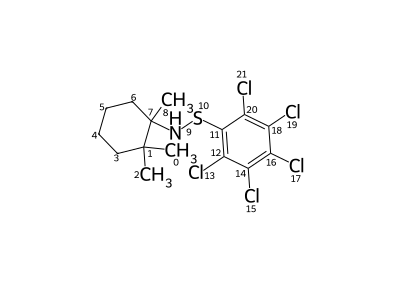 CC1(C)CCCCC1(C)NSc1c(Cl)c(Cl)c(Cl)c(Cl)c1Cl